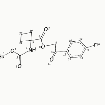 CC(C)(C)OC(=O)NC1(C(=O)OCC(=O)c2ccc(F)cc2)CCC1